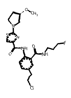 CO[C@H]1CCN(c2nc(C(=O)Nc3ccc(CCCl)cc3C(=O)NCCCF)cs2)C1